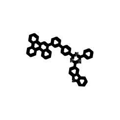 c1ccc(-c2nc(-c3ccc(-c4cccc(-c5cc6c7ccccc7c7ccccc7c6c6ccccc56)c4)cc3)nc(-c3ccc4sc5ccccc5c4c3)n2)cc1